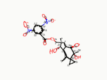 CC1=C2C(=C[C@@](C)(COC(=O)c3cc([N+](=O)[O-])cc([N+](=O)[O-])c3)[C@@H]2O)C(=O)[C@](C)(O)C12CC2